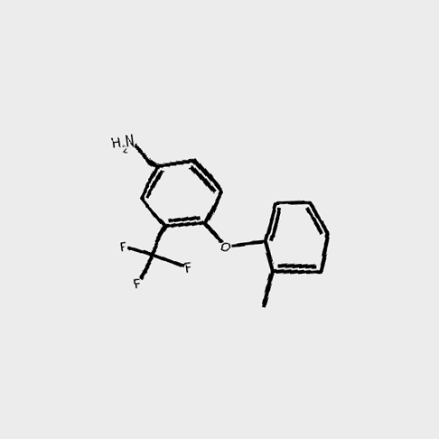 Cc1ccccc1Oc1ccc(N)cc1C(F)(F)F